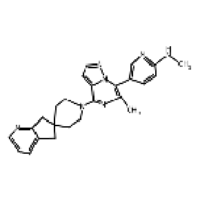 CNc1ccc(-c2c(C)nc(N3CCC4(CC3)Cc3cccnc3C4)c3ccnn23)cn1